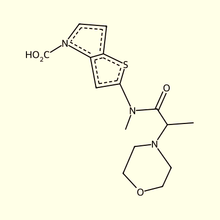 CC(C(=O)N(C)c1cc2c(ccn2C(=O)O)s1)N1CCOCC1